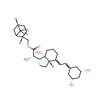 C[C@H](C(=O)OC[C@H]1CC[C@H]2CC1C2(C)C)[C@H]1CC[C@H]2/C(=C/C=C3C[C@@H](O)C[C@@H](O)C3)CCC[C@]12C